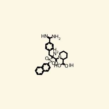 I.N=C(N)c1ccc(C[C@](N)(C(=O)N2CCCCC2C(=O)O)S(=O)(=O)c2ccc3ccccc3c2)cc1